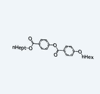 CCCCCCCOC(=O)c1ccc(OC(=O)c2ccc(OCCCCCC)cc2)cc1